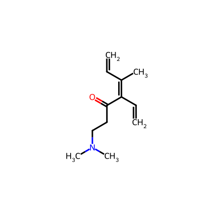 C=C/C(C)=C(/C=C)C(=O)CCN(C)C